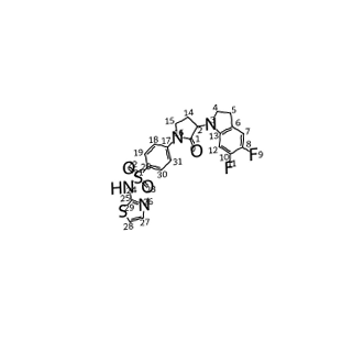 O=C1C(N2CCc3cc(F)c(F)cc32)CCN1c1ccc(S(=O)(=O)Nc2nccs2)cc1